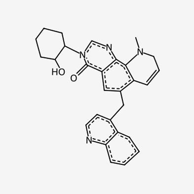 CN1CC=Cc2c(Cc3ccnc4ccccc34)cc3c(=O)n(C4CCCCC4O)cnc3c21